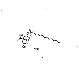 CCCCCCCCCCCCOS(=O)(=O)OC(=O)CC(O)(CC(=O)O)C(=O)O.[NaH]